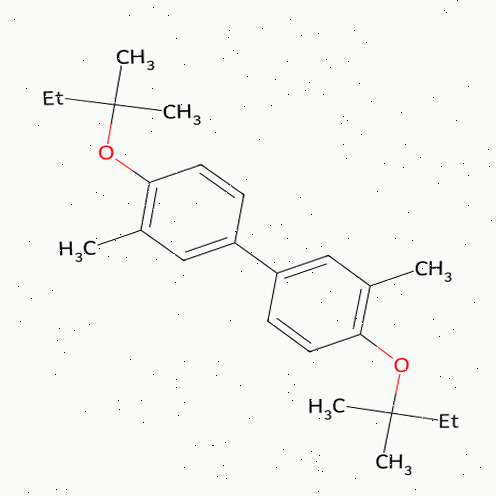 CCC(C)(C)Oc1ccc(-c2ccc(OC(C)(C)CC)c(C)c2)cc1C